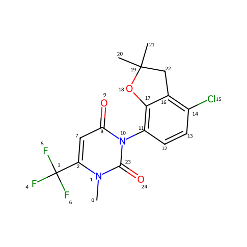 Cn1c(C(F)(F)F)cc(=O)n(-c2ccc(Cl)c3c2OC(C)(C)C3)c1=O